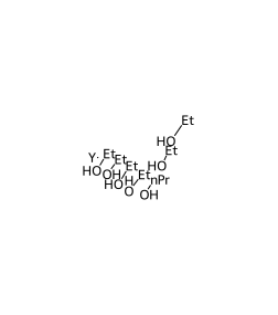 CCCO.CCO.CCO.CCO.CCO.CCO.CCO.[Y]